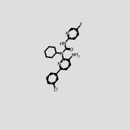 Nc1ccc(-c2cccc(Cl)c2)nc1N(C(=O)Nc1ccc(F)cn1)C1CCCCC1